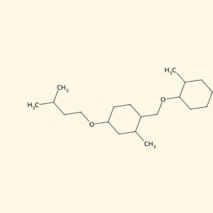 CC(C)CCOC1CCC(COC2CCCCC2C)C(C)C1